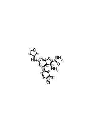 NC(=O)c1sc2nc(NC3CCOC3)nc(-c3ccc(Cl)c(Cl)c3)c2c1N